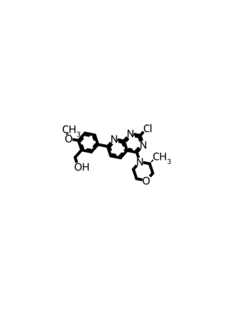 COc1ccc(-c2ccc3c(N4CCOC[C@H]4C)nc(Cl)nc3n2)cc1CO